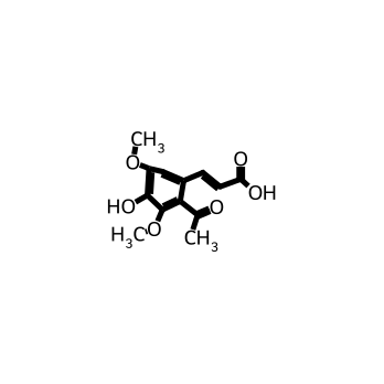 COc1cc(C=CC(=O)O)c(C(C)=O)c(OC)c1O